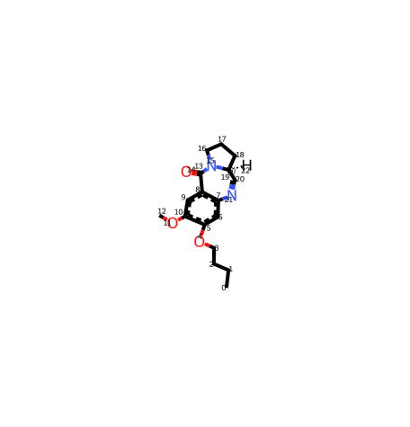 CCCCOc1cc2c(cc1OC)C(=O)N1CCC[C@H]1C=N2